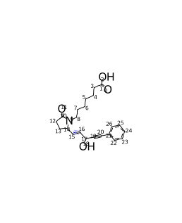 O=C(O)CCCCCCN1C(=O)CCC1/C=C/C(O)C#Cc1ccccc1